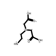 [NH]CCN(CC(=O)O)CC(=O)O